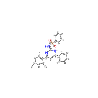 Cc1cc(C)c(-c2cc(-c3ccccc3)nc(NS(=O)(=O)c3ccccc3)n2)c(C)c1